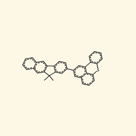 CC1(C)c2cc(-c3cc4c5c(cccc5c3)Sc3ccccc3-4)ccc2-c2cc3ccccc3cc21